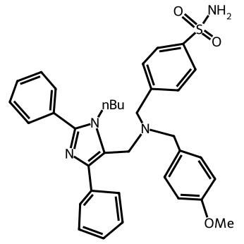 CCCCn1c(-c2ccccc2)nc(-c2ccccc2)c1CN(Cc1ccc(OC)cc1)Cc1ccc(S(N)(=O)=O)cc1